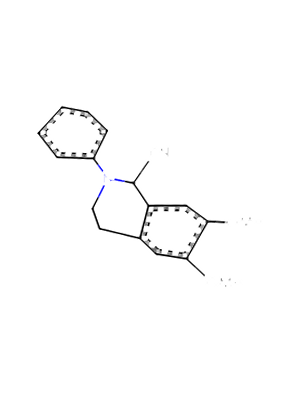 COc1cc2c(cc1OC)C(C#N)N(c1ccccc1)CC2